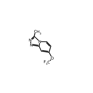 Cc1nnc2cc(OC(F)(F)F)ccn12